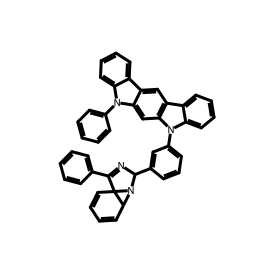 C1=CC2N3C(c4cccc(-n5c6ccccc6c6cc7c8ccccc8n(-c8ccccc8)c7cc65)c4)N=C(c4ccccc4)C23C=C1